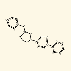 c1ccc(CN2CCCC(c3ccc(-c4ccccc4)cc3)C2)cc1